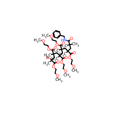 COCCOC(=O)C(C)(Br)CC(C)(CC(C)(CC(C)(CC(C)(CC(C)(C)C(=O)NCc1ccccc1)C(=O)OCCOC)C(=O)OCCOC)C(=O)OCCOC)C(=O)OCCOC